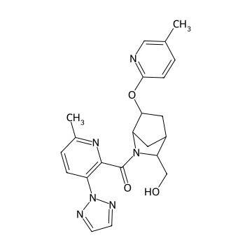 Cc1ccc(OC2CC3CC2N(C(=O)c2nc(C)ccc2-n2nccn2)C3CO)nc1